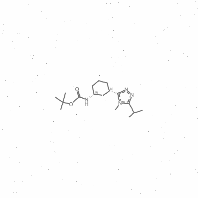 CC(C)c1nnc([C@H]2CCC[C@@H](NC(=O)OC(C)(C)C)C2)n1C